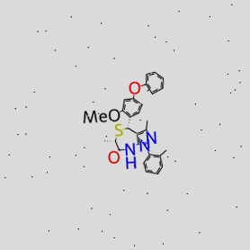 COc1cc(Oc2ccccc2)ccc1[C@H]1S[C@@H](C)C(=O)Nc2c1c(C)nn2-c1ccccc1C